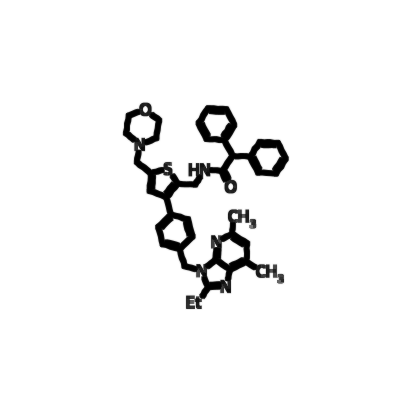 CCc1nc2c(C)cc(C)nc2n1Cc1ccc(-c2cc(CN3CCOCC3)sc2CNC(=O)C(c2ccccc2)c2ccccc2)cc1